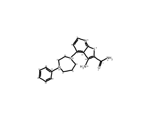 NC(=O)c1sc2nccc(N3CCCN(c4ccccc4)CC3)c2c1N